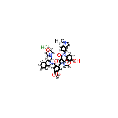 CN1CCc2cc(N(C(=O)c3cc(-c4cc5c(cc4C(=O)N4Cc6ccccc6C[C@H]4CN4CCOCC4)OCO5)n4c3COCC4)c3ccc(O)cc3)ccc21.Cl